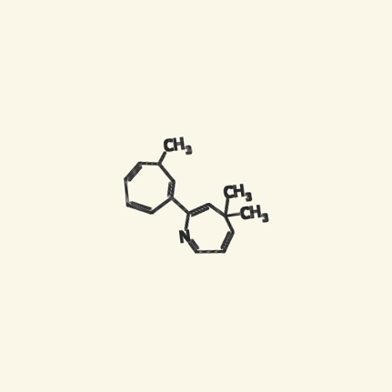 CC1C=CC=CC(C2=CC(C)(C)C=CC=N2)=C1